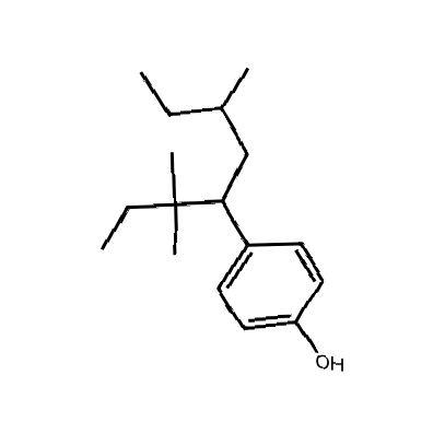 CCC(C)CC(c1ccc(O)cc1)C(C)(C)CC